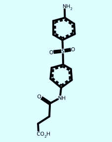 Nc1ccc(S(=O)(=O)c2ccc(NC(=O)CCC(=O)O)cc2)cc1